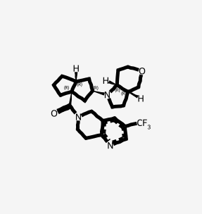 O=C(N1CCc2ncc(C(F)(F)F)cc2C1)[C@@]12CCC[C@@H]1C[C@@H](N1CC[C@H]3COCC[C@H]31)C2